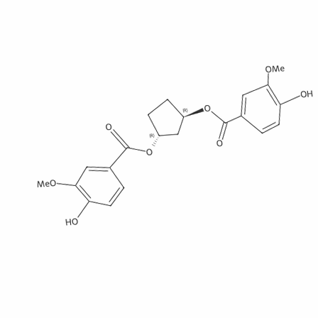 COc1cc(C(=O)O[C@@H]2CC[C@@H](OC(=O)c3ccc(O)c(OC)c3)C2)ccc1O